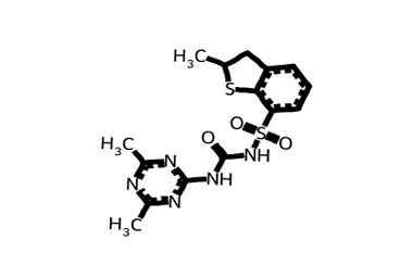 Cc1nc(C)nc(NC(=O)NS(=O)(=O)c2cccc3c2SC(C)C3)n1